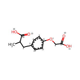 CC(Cc1ccc(OCC(=O)O)cc1)C(=O)O